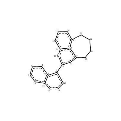 c1ccc2c(-c3cc4c5c(cccc5n3)CCCC4)cccc2c1